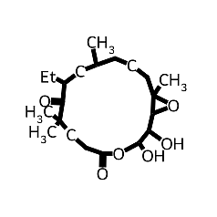 CCC1CC(C)CCCC2(C)OC2C(O)C(O)OC(=O)CCC(C)(C)C1=O